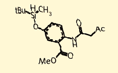 COC(=O)c1cc(O[SiH](C)C(C)(C)C)ccc1NC(=O)CC(C)=O